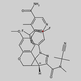 COc1cc2c(cc1-c1cncc(C(N)=O)c1C)C13C(CO2)[C@H]1C(C(=O)N(C)C(C)(C)C#N)=NN3c1cc(F)cc(F)c1